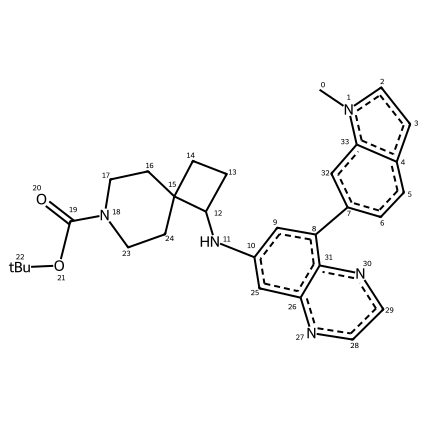 Cn1ccc2ccc(-c3cc(NC4CCC45CCN(C(=O)OC(C)(C)C)CC5)cc4nccnc34)cc21